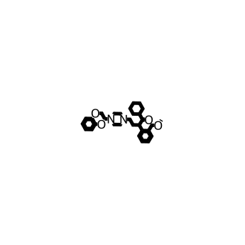 COCc1ccccc1C(CCN1CCN(C2COc3ccccc3O2)CC1)C(=O)C1CCCCC1